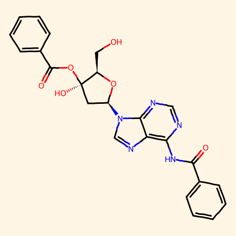 O=C(Nc1ncnc2c1ncn2[C@H]1C[C@@](O)(OC(=O)c2ccccc2)[C@@H](CO)O1)c1ccccc1